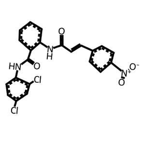 O=C(C=Cc1ccc([N+](=O)[O-])cc1)Nc1ccccc1C(=O)Nc1ccc(Cl)cc1Cl